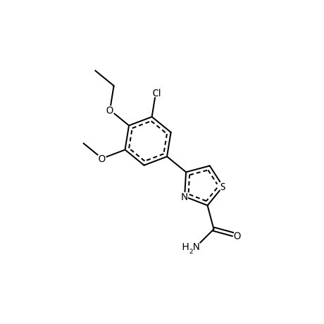 CCOc1c(Cl)cc(-c2csc(C(N)=O)n2)cc1OC